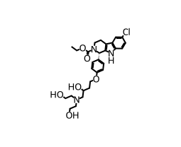 CCOC(=O)N1CCc2c([nH]c3ccc(Cl)cc23)[C@@H]1c1ccc(OCCC(O)CN(CCO)CCO)cc1